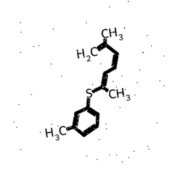 C=C(C)/C=C\C=C(/C)Sc1cccc(C)c1